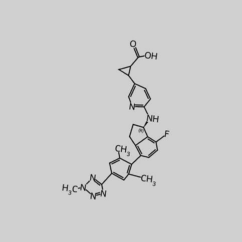 Cc1cc(-c2nnn(C)n2)cc(C)c1-c1ccc(F)c2c1CC[C@H]2Nc1ccc(C2CC2C(=O)O)cn1